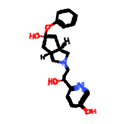 Oc1ccc([C@H](O)CN2C[C@@H]3C[C@@](O)(Oc4ccccc4)C[C@@H]3C2)nc1